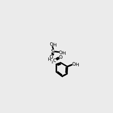 C=O.O=[Si](O)O.Oc1ccccc1